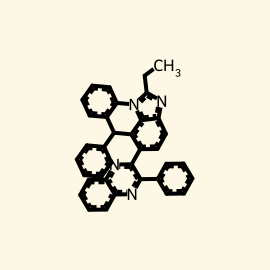 CCc1nc2ccc(-c3nc4ccccc4nc3-c3ccccc3)c3c2n1-c1ccccc1C3c1ccccc1